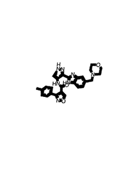 Cc1ccc(-c2nocc2C(=O)Nc2c[nH]nc2-c2nc3cc(CN4CCOCC4)ccc3[nH]2)cc1